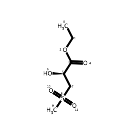 CCOC(=O)[C@H](O)CS(C)(=O)=O